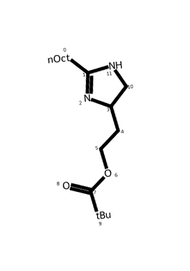 CCCCCCCCC1=NC(CCOC(=O)C(C)(C)C)CN1